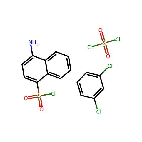 Clc1cccc(Cl)c1.Nc1ccc(S(=O)(=O)Cl)c2ccccc12.O=S(=O)(Cl)Cl